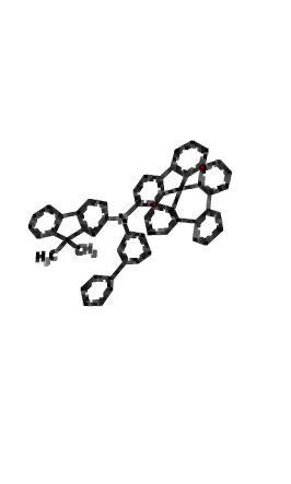 CC1(C)c2ccccc2-c2ccc(N(c3cccc(-c4ccccc4)c3)c3ccc4c(c3)C3(c5ccccc5-c5ccccc5-c5ccccc53)c3ccccc3-4)cc21